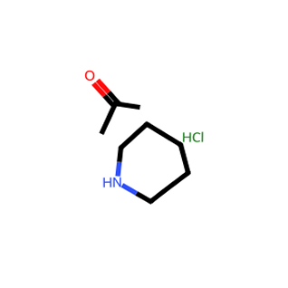 C1CCNCC1.CC(C)=O.Cl